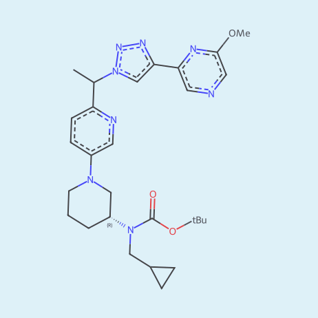 COc1cncc(-c2cn(C(C)c3ccc(N4CCC[C@@H](N(CC5CC5)C(=O)OC(C)(C)C)C4)cn3)nn2)n1